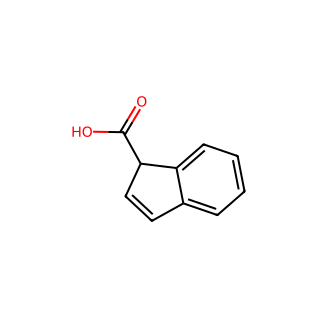 O=C(O)C1C=Cc2ccccc21